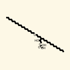 CCCCCCCCCCCCCCCCCCOCCCC(CCCCCCCCCCCCCC)C(O)COP(=O)(O)O